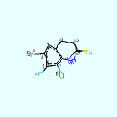 Fc1c(Br)cc2c(c1Cl)NC(=S)CC2